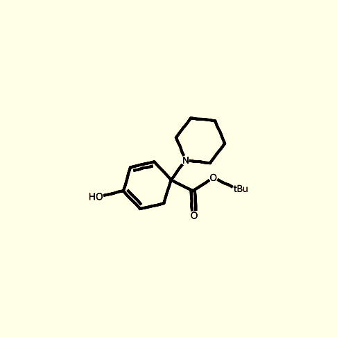 CC(C)(C)OC(=O)C1(N2CCCCC2)C=CC(O)=CC1